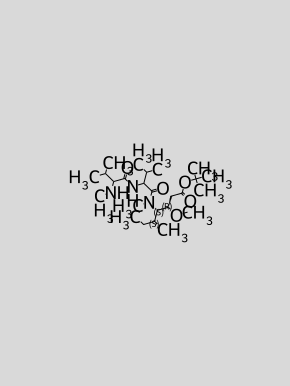 CC[C@H](C)[C@@H]([C@@H](CC(=O)OC(C)(C)C)OC)N(C)C(=O)C(NC(=O)C(NC)C(C)C)C(C)C